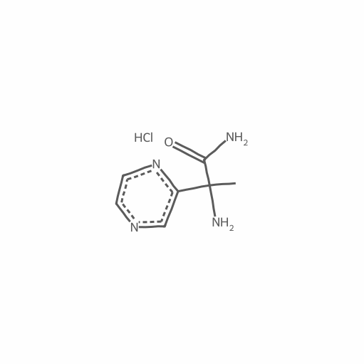 CC(N)(C(N)=O)c1cnccn1.Cl